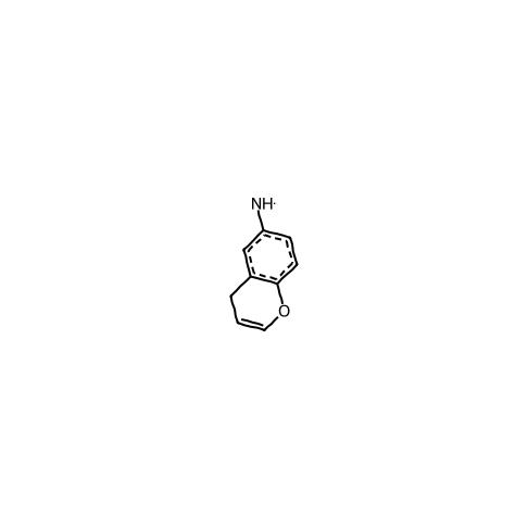 [NH]c1ccc2c(c1)CC=CO2